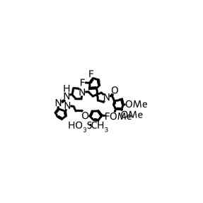 COc1cc(C(=O)N2CCC(CCN3CCC(Nc4nc5ccccc5n4CCCOc4ccc(F)cc4)CC3)(c3ccc(F)c(F)c3)C2)cc(OC)c1OC.CS(=O)(=O)O